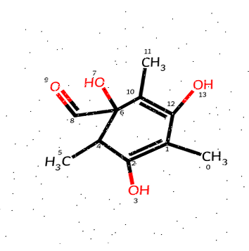 CC1=C(O)C(C)C(O)(C=O)C(C)=C1O